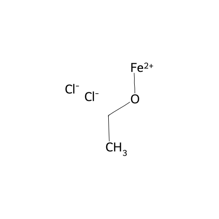 CC[O][Fe+2].[Cl-].[Cl-]